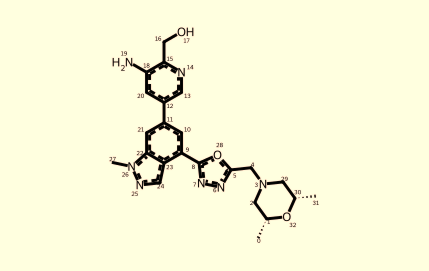 C[C@@H]1CN(Cc2nnc(-c3cc(-c4cnc(CO)c(N)c4)cc4c3cnn4C)o2)C[C@H](C)O1